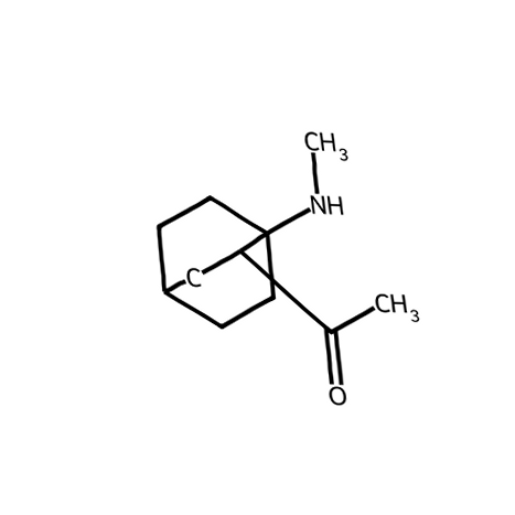 CNC12CCC(CC1)CC2C(C)=O